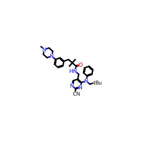 CN1CCN(c2cccc(CC(C)(C)C(=O)NCc3cnc(C#N)nc3N(CC(C)(C)C)c3ccccc3)c2)CC1